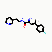 C/C(=C\C(=N)C(=O)NCCc1cccnc1)c1ccc(F)cc1